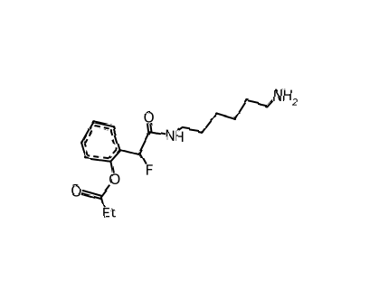 CCC(=O)Oc1ccccc1C(F)C(=O)NCCCCCCN